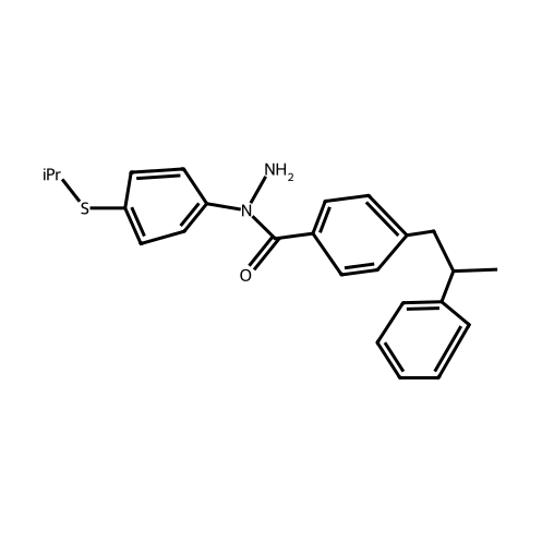 CC(C)Sc1ccc(N(N)C(=O)c2ccc(CC(C)c3ccccc3)cc2)cc1